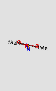 CNC(=O)CCCCC/C=C/CCCCCCCN(CCCCCCCCCCCCCCC(=O)OC)C(=O)CSCCN(C)C